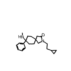 CNC1(c2ccccc2)CCC2(CC1)CC(=O)N(CCC1CC1)C2